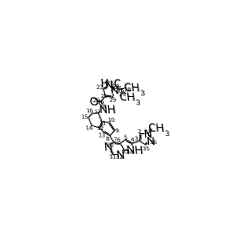 Cn1cc(-c2cc3c(-c4ccc5c(c4)CCCC5NC(=O)c4cnn(C(C)(C)C)c4)ncnc3[nH]2)cn1